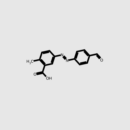 Cc1ccc(N=Nc2ccc(C=O)cc2)cc1C(=O)O